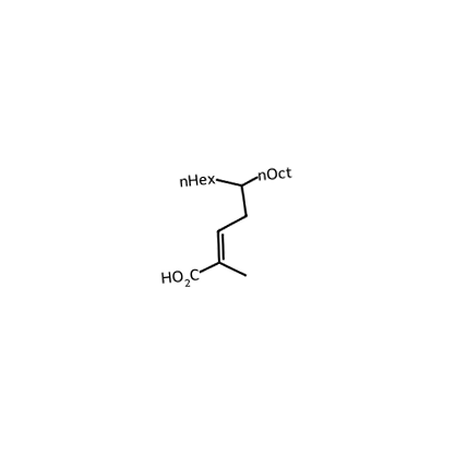 CCCCCCCCC(CC=C(C)C(=O)O)CCCCCC